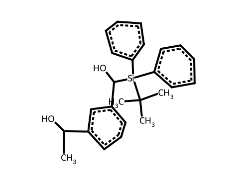 CC(O)c1cccc(C(O)[Si](c2ccccc2)(c2ccccc2)C(C)(C)C)c1